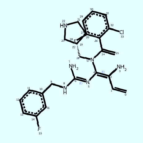 C=C/C(N)=C(\N=C(/N)NCc1cccc(F)c1)N(C[C@H]1CCNC1)C(=C)c1c(F)cccc1Cl